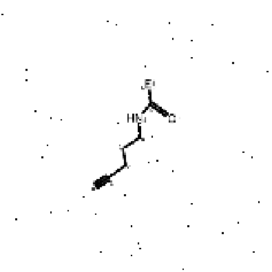 C#CCCCNC(=O)CC